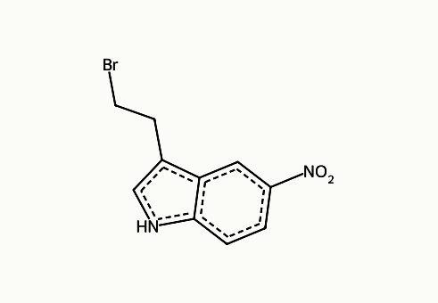 O=[N+]([O-])c1ccc2[nH]cc(CCBr)c2c1